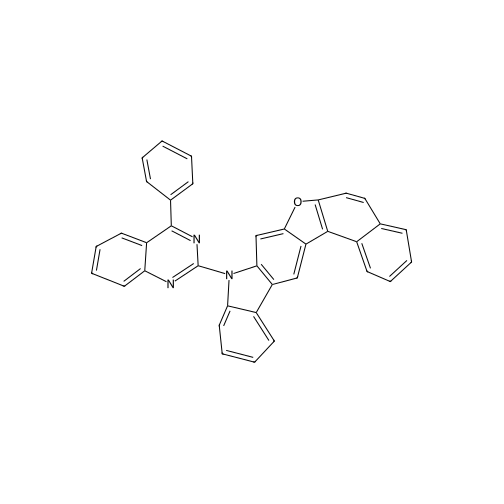 c1ccc(-c2nc(-n3c4ccccc4c4cc5c(cc43)oc3ccc4ccccc4c35)nc3ccccc23)cc1